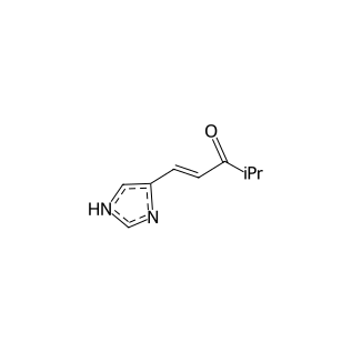 CC(C)C(=O)C=Cc1c[nH]cn1